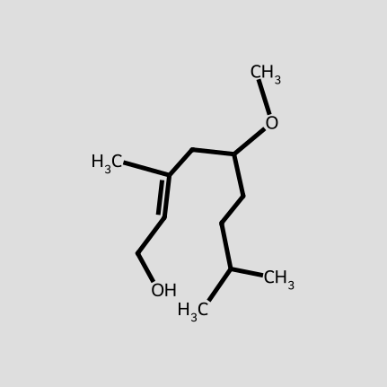 COC(CCC(C)C)CC(C)=CCO